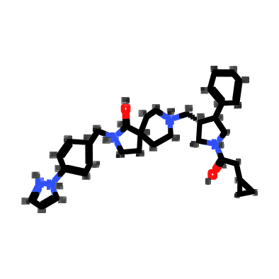 O=C(CC1CC1)N1CC(c2ccccc2)[C@@H](CN2CCC3(CC2)CCN(Cc2ccc(-n4cccn4)cc2)C3=O)C1